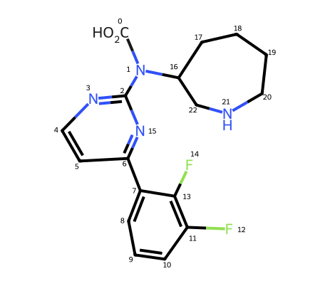 O=C(O)N(c1nccc(-c2cccc(F)c2F)n1)C1CCCCNC1